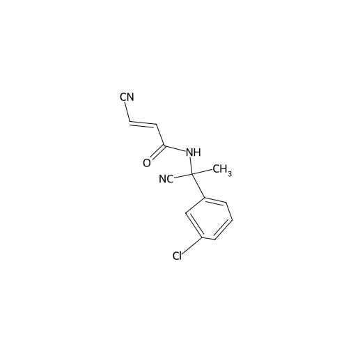 CC(C#N)(NC(=O)/C=C/C#N)c1cccc(Cl)c1